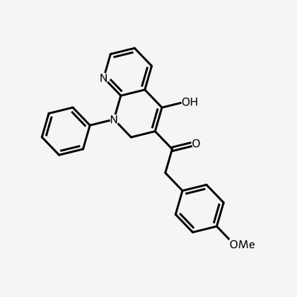 COc1ccc(CC(=O)C2=C(O)c3cccnc3N(c3ccccc3)C2)cc1